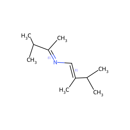 C/C(=C\N=C(/C)C(C)C)C(C)C